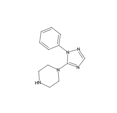 c1ccc(-n2ncnc2N2CCNCC2)cc1